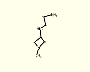 CN1CC(NCCN)C1